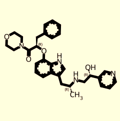 C[C@H](Cc1c[nH]c2c(O[C@H](Cc3ccccc3)C(=O)N3CCOCC3)cccc12)NC[C@H](O)c1cccnc1